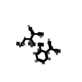 CCC(N)C(=O)O.O=C(O)c1ccccc1O